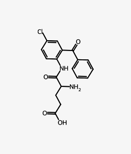 NC(CCC(=O)O)C(=O)Nc1ccc(Cl)cc1C(=O)c1ccccc1